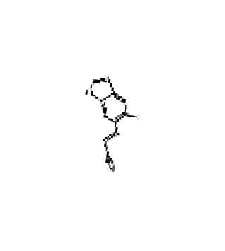 N#CC=Cc1cc2occc2cc1Cl